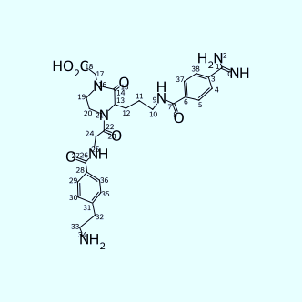 N=C(N)c1ccc(C(=O)NCCCC2C(=O)N(CC(=O)O)CCN2C(=O)CNC(=O)c2ccc(CCN)cc2)cc1